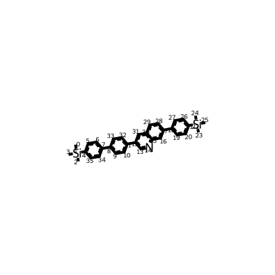 C[Si](C)(C)c1ccc(-c2ccc(-c3cnc4cc(-c5ccc([Si](C)(C)C)cc5)ccc4c3)cc2)cc1